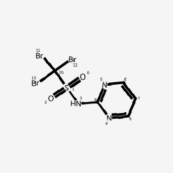 O=S(=O)(Nc1ncccn1)C(Br)(Br)Br